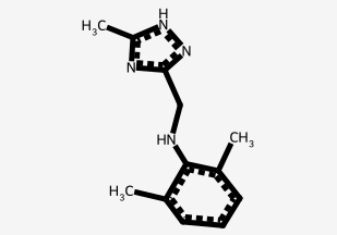 Cc1nc(CNc2c(C)cccc2C)n[nH]1